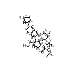 Cc1cccc(C2CCc3cc(-c4c(CO)nc(C)c([C@H](OC(C)(C)C)C(=O)OC(C)C)c4N4CCC(C)(C)CC4)ccc3O2)n1